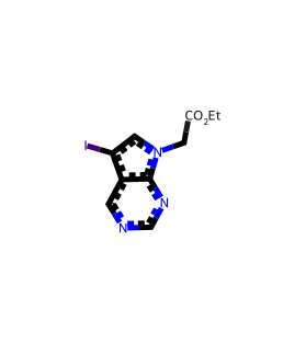 CCOC(=O)Cn1cc(I)c2cncnc21